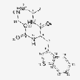 CC(C#N)NC(=O)C(Cc1csc2ccccc12)NC(=O)OCC#N